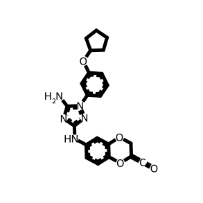 Nc1nc(Nc2ccc3c(c2)OCC(=C=O)O3)nn1-c1cccc(OC2CCCC2)c1